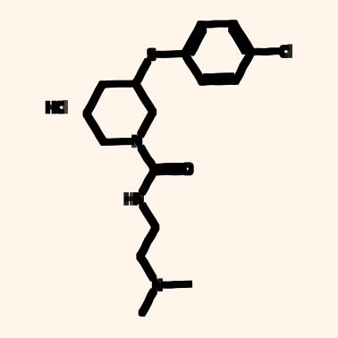 CN(C)CCNC(=O)N1CCCC(Sc2ccc(Cl)cc2)C1.Cl